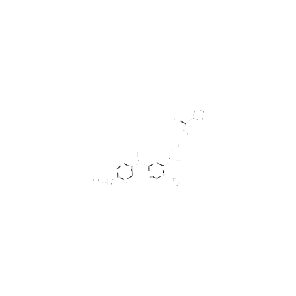 CNc1ccc(Nc2ncc(C3CC3)c(NCCCNC(=O)C3CCC3)n2)cn1